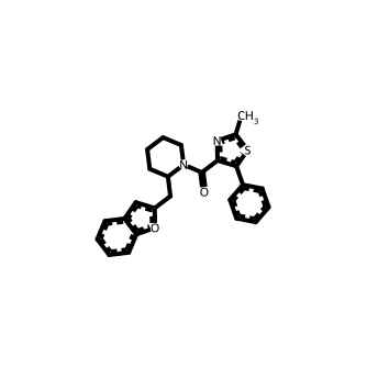 Cc1nc(C(=O)N2CCCCC2Cc2cc3ccccc3o2)c(-c2ccccc2)s1